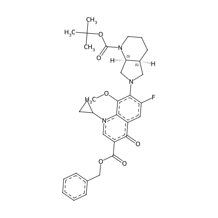 COc1c(N2C[C@@H]3CCCN(C(=O)OC(C)(C)C)[C@@H]3C2)c(F)cc2c(=O)c(C(=O)OCc3ccccc3)cn(C3CC3)c12